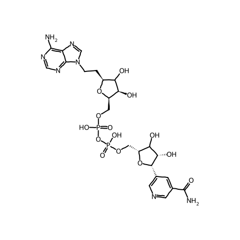 NC(=O)c1cncc([C@@H]2O[C@H](COP(=O)(O)OP(=O)(O)OC[C@H]3O[C@@H](CCn4cnc5c(N)ncnc54)C(O)[C@H]3O)C(O)[C@@H]2O)c1